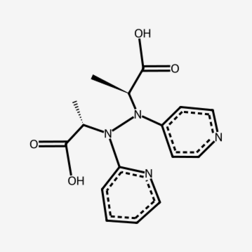 C[C@@H](C(=O)O)N(c1ccncc1)N(c1ccccn1)[C@@H](C)C(=O)O